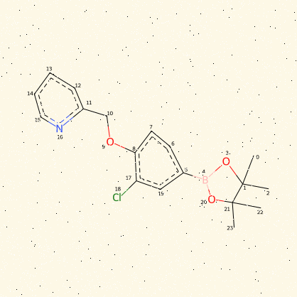 CC1(C)OB(c2ccc(OCc3ccccn3)c(Cl)c2)OC1(C)C